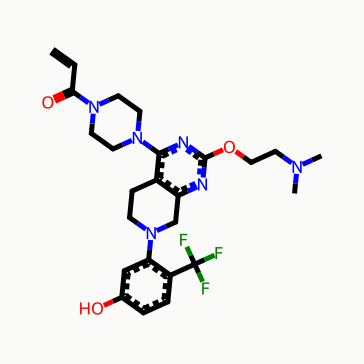 C=CC(=O)N1CCN(c2nc(OCCN(C)C)nc3c2CCN(c2cc(O)ccc2C(F)(F)F)C3)CC1